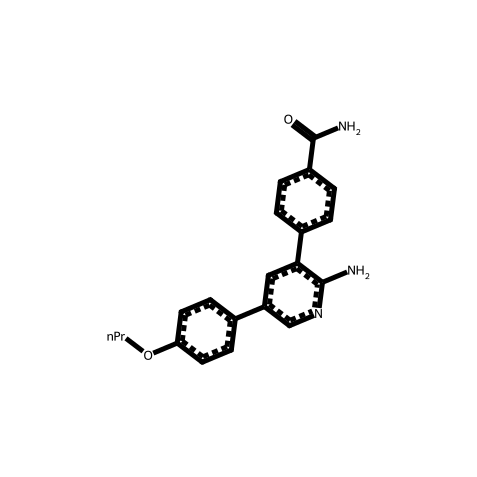 CCCOc1ccc(-c2cnc(N)c(-c3ccc(C(N)=O)cc3)c2)cc1